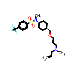 C=CCN(C)CCCOC[C@H]1CC[C@H](N(C)S(=O)(=O)c2ccc(C(F)(F)F)cc2)CC1